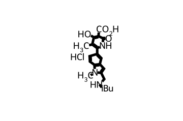 CCC(C)NCc1cc2cc(-c3[nH]c(=O)c(C(=O)O)c(O)c3C)ccc2n1C.Cl